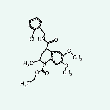 CCOC(=O)N1c2cc(OC)c(OC)cc2C(C(=O)NCc2ccccc2Cl)CC1C